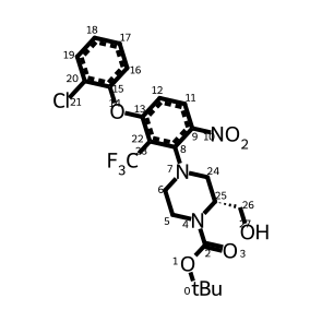 CC(C)(C)OC(=O)N1CCN(c2c([N+](=O)[O-])ccc(Oc3ccccc3Cl)c2C(F)(F)F)C[C@@H]1CO